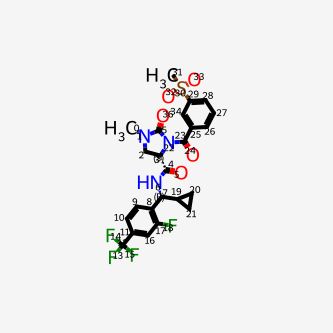 CN1C[C@@H](C(=O)N[C@@H](c2ccc(C(F)(F)F)cc2F)C2CC2)N(C(=O)c2cccc(S(C)(=O)=O)c2)C1=O